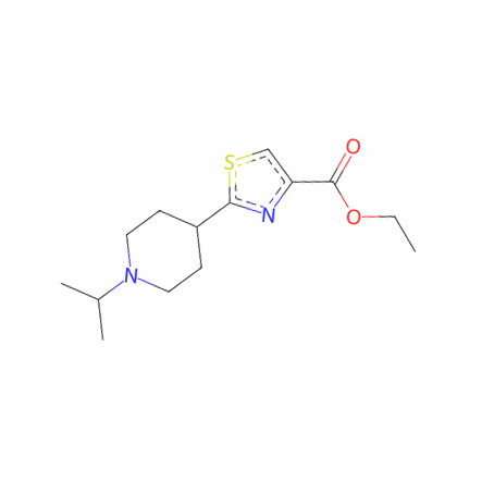 CCOC(=O)c1csc(C2CCN(C(C)C)CC2)n1